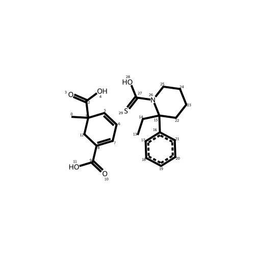 CC1(C(=O)O)C=CC=C(C(=O)O)C1.CCC1(c2ccccc2)CCCCN1C(O)=S